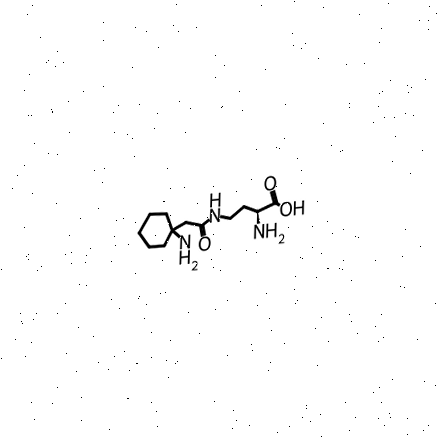 N[C@@H](CCNC(=O)CC1(N)CCCCC1)C(=O)O